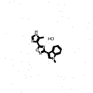 Cc1[nH]cnc1-c1nc(-c2cn(C)c3ccccc23)no1.Cl